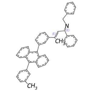 C/C(=C\C(=N/Cc1ccccc1)c1ccccc1)c1cccc(-c2c3ccccc3c(-c3cccc(C)c3)c3ccccc23)c1